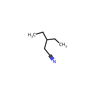 C[CH]C(CC)CC#N